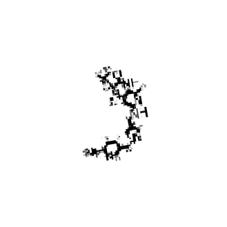 Cc1nc(NCc2cnn(Cc3ccc(C#N)nc3)c2)cc2c1NC(=O)C(OC(C)C)N2C